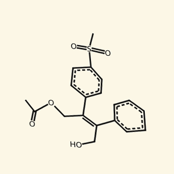 CC(=O)OC/C(=C(\CO)c1ccccc1)c1ccc(S(C)(=O)=O)cc1